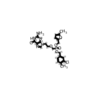 Cc1ccc(COP(=O)(COCCn2cnc3c(=O)[nH]c(N)nc32)OCc2ccc(C)c(Cl)c2)o1